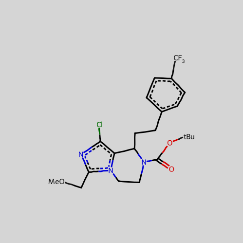 COCc1nc(Cl)c2n1CCN(C(=O)OC(C)(C)C)C2CCc1ccc(C(F)(F)F)cc1